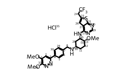 COc1cc(-c2ccc(CN[C@H]3CC[C@H](OC)[C@@H](Nc4ncnc5sc(CC(F)(F)F)cc45)C3)cc2)nnc1OC.Cl